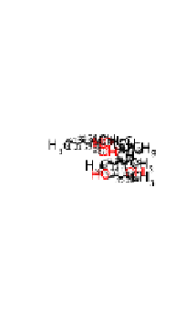 CC(C)CC(C)(C)CCO.CCCCC(CC)CO.CCCCCCC(C)CO.CCCCCCO